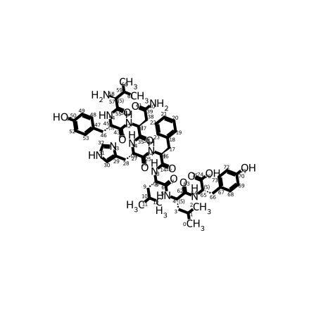 CC(C)C[C@H](NC(=O)[C@H](CC(C)C)NC(=O)[C@H](Cc1ccccc1)NC(=O)[C@H](Cc1c[nH]cn1)NC(=O)[C@H](CC(N)=O)NC(=O)[C@H](Cc1ccc(O)cc1)NC(=O)[C@@H](N)C(C)C)C(=O)N[C@@H](Cc1ccc(O)cc1)C(=O)O